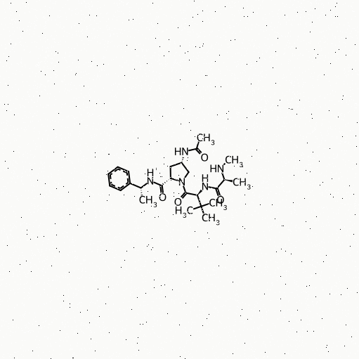 CN[C@@H](C)C(=O)N[C@H](C(=O)N1C[C@@H](NC(C)=O)C[C@H]1C(=O)N[C@H](C)c1ccccc1)C(C)(C)C